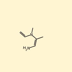 C=CN(C)/C(C)=C\N